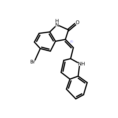 O=C1Nc2ccc(Br)cc2/C1=C\C1C=Cc2ccccc2N1